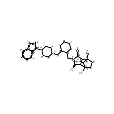 O=C1C2C(C(=O)N1CC1CCCCC1CN1CCN(c3nsc4ccccc34)CC1)[C@@H]1CC[C@H]2C1O